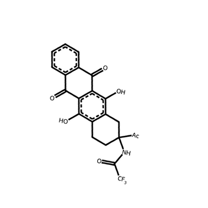 CC(=O)C1(NC(=O)C(F)(F)F)CCc2c(O)c3c(c(O)c2C1)C(=O)c1ccccc1C3=O